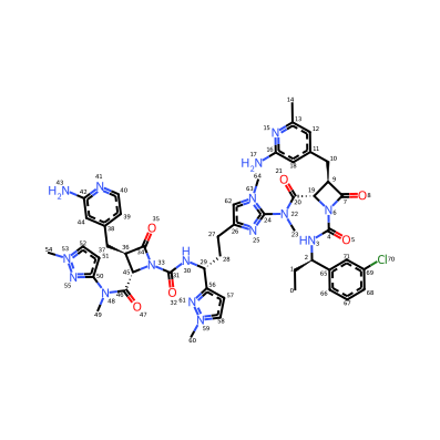 CC[C@@H](NC(=O)N1C(=O)[C@H](Cc2cc(C)nc(N)c2)[C@H]1C(=O)N(C)c1nc(CC[C@@H](NC(=O)N2C(=O)[C@H](Cc3ccnc(N)c3)[C@H]2C(=O)N(C)c2ccn(C)n2)c2ccn(C)n2)cn1C)c1cccc(Cl)c1